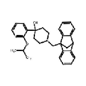 CC(C)Oc1ncccc1C1(O)CCN(CC23CC(c4ccccc42)c2ccccc23)CC1